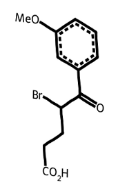 COc1cccc(C(=O)C(Br)CCC(=O)O)c1